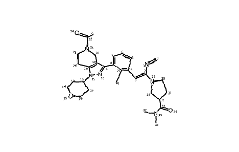 C=N/C(=C\c1cccc(-c2nn(C3CCOCC3)c3c2CN(C(C)=O)CC3)c1C)N1CCC(C(=O)N(C)C)C1